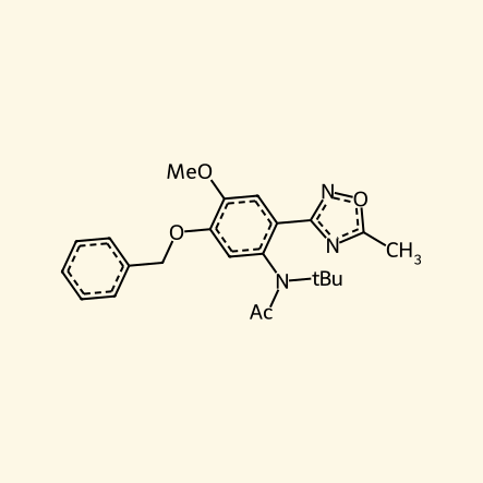 COc1cc(-c2noc(C)n2)c(N(C(C)=O)C(C)(C)C)cc1OCc1ccccc1